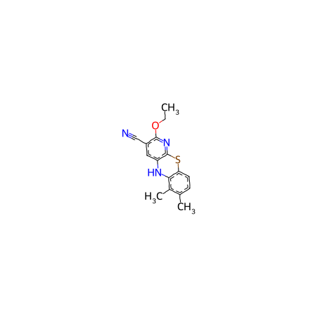 CCOc1nc2c(cc1C#N)Nc1c(ccc(C)c1C)S2